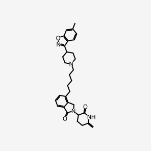 C=C1CCC(N2Cc3c(CCCCCN4CCC(c5noc6cc(C)ccc56)CC4)cccc3C2=O)C(=O)N1